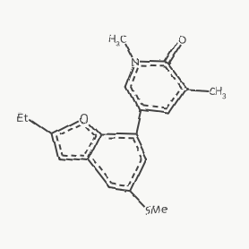 CCc1cc2cc(SC)cc(-c3cc(C)c(=O)n(C)c3)c2o1